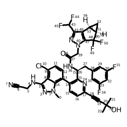 Cn1nc(NCC#N)c2c(Cl)ccc(-c3ccc(C#CC(C)(C)O)nc3[C@H](Cc3cc(F)cc(F)c3)NC(=O)Cn3nc(C(F)F)c4c3C(F)(F)[C@@H]3C[C@H]43)c21